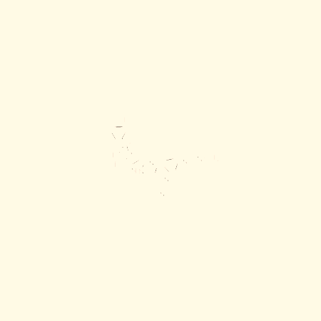 CN1CCN(c2ccc(C(=O)Nc3n[nH]c4c3CN(S(=O)(=O)c3cc(F)cc(F)c3)C4(C)C)c(NCC3CCCN3C)c2)CC1